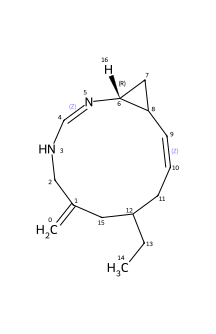 C=C1CN/C=N\[C@@H]2CC2/C=C\CC(CC)C1